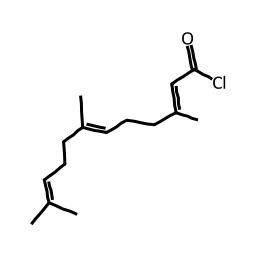 CC(C)=CCCC(C)=CCCC(C)=CC(=O)Cl